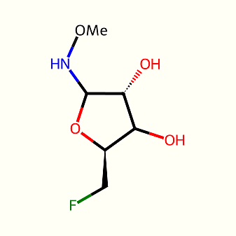 CONC1O[C@H](CF)C(O)[C@H]1O